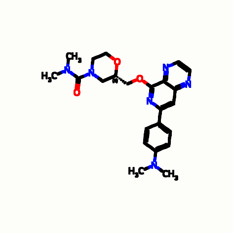 CN(C)C(=O)N1CCO[C@H](COc2nc(-c3ccc(N(C)C)cc3)cc3nccnc23)C1